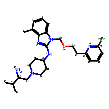 Cc1cccc2c1nc(NC1CCN(CC(N)C(C)C)CC1)n2COCCc1cccc(Br)n1